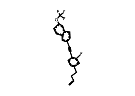 C=CCCc1ccc(C#Cc2ccc3cc(OC(F)(F)F)ccc3c2)c(F)c1